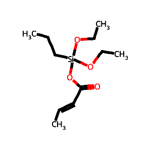 CC=CC(=O)O[Si](CCC)(OCC)OCC